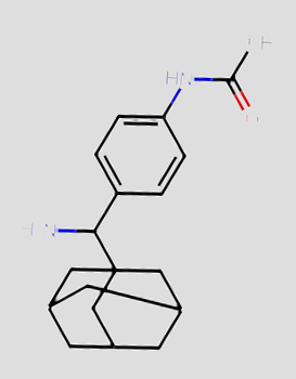 CC(=O)Nc1ccc(C(N)C23CC4CC(CC(C4)C2)C3)cc1